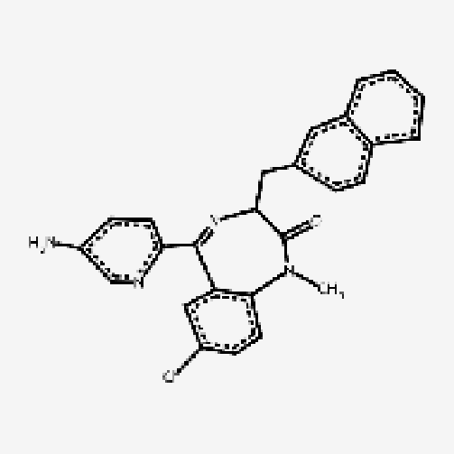 CN1C(=O)C(Cc2ccc3ccccc3c2)N=C(c2ccc(N)cn2)c2cc(Cl)ccc21